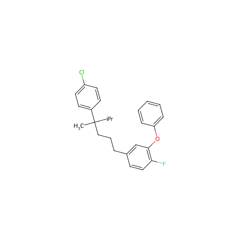 CC(C)C(C)(CCCc1ccc(F)c(Oc2ccccc2)c1)c1ccc(Cl)cc1